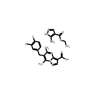 CCOC(=O)c1cn[nH]c1N.Cc1nc2c(C(=O)O)cnn2c(C)c1Cc1ccc(F)c(Cl)c1